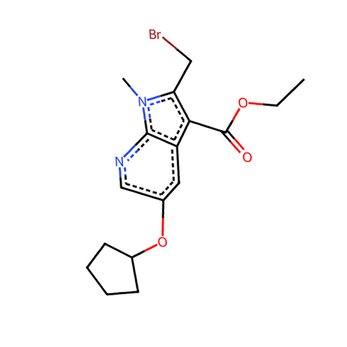 CCOC(=O)c1c(CBr)n(C)c2ncc(OC3CCCC3)cc12